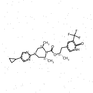 C[C@@H]1CN(c2ncc(C3CC3)cn2)C[C@@H](C)N1C(=O)O[C@@H](C)Cc1c[nH]c(=O)c(C(F)(F)F)c1